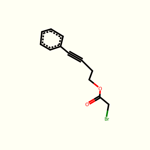 O=C(CBr)OCCC#Cc1ccccc1